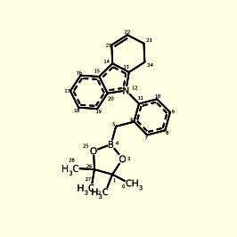 CC1(C)OB(Cc2ccccc2-n2c3c(c4ccccc42)C=CCC3)OC1(C)C